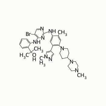 Cc1cc(N2CCC(N3CCN(C)CC3)CC2)c(-c2cnn(C)c2)cc1Nc1ncc(Br)c(Nc2ccccc2C(C)(C)O)n1